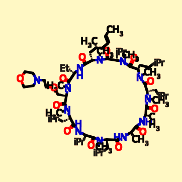 C/C=C/C[C@@H](C)C[C@H]1C(=O)N[C@@H](CC)C(=O)N(C)[C@H](COCCN2CCOCC2)C(=O)N(C)[C@@H](CC(C)C)C(=O)N[C@H](C(C)C)C(=O)N(C)[C@H](CC(C)C)C(=O)N[C@H](C)C(=O)N[C@@H](C)C(=O)N(C)[C@@H](CC(C)C)C(=O)N(C)[C@@H](CCC(C)C)C(=O)N(C)[C@@H](C(C)C)C(=O)N1C